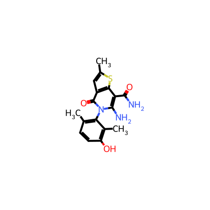 Cc1cc2c(=O)n(-c3c(C)ccc(O)c3C)c(N)c(C(N)=O)c2s1